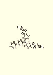 C=CC(=O)Oc1cccc(N(c2ccc(-c3ccccc3)cc2)c2cccc(OC(=O)C=C)c2)c1